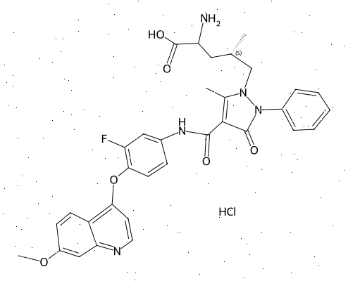 COc1ccc2c(Oc3ccc(NC(=O)c4c(C)n(C[C@@H](C)CC(N)C(=O)O)n(-c5ccccc5)c4=O)cc3F)ccnc2c1.Cl